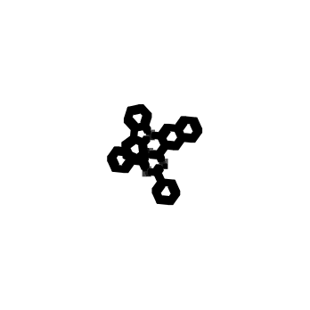 c1ccc(-c2nc(-c3ccccc3)nc(-c3cc4ccccc4cc3-n3c4ccccc4c4ccccc43)n2)cc1